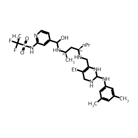 CCC[C@H](C[C@@H](C)NC(O)c1ccnc(NS(=O)(=O)C(C)(F)F)c1)NCC1=C(CC)CNC(Nc2cc(C)cc(C)c2)N1